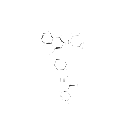 O=C(NC[C@H]1CC[C@@H](Oc2cc(N3CCOCC3)cc3nccnc23)CC1)C1CCOC1